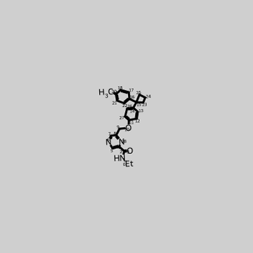 CCNC(=O)c1cncc(COc2ccc(C3(c4ccc(C)cc4)CCC3)cc2)n1